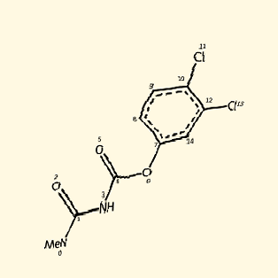 CNC(=O)NC(=O)Oc1ccc(Cl)c(Cl)c1